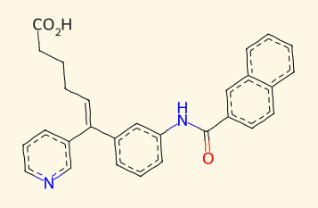 O=C(O)CCCC=C(c1cccnc1)c1cccc(NC(=O)c2ccc3ccccc3c2)c1